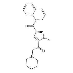 Cn1cc(C(=O)c2cccc3ccccc23)cc1C(=O)CN1CCCCC1